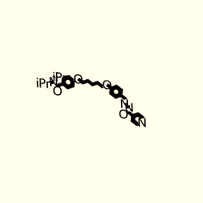 CC(C)N(C(=O)c1ccc(OCCCCCOc2ccc(CN=NC(=O)c3ccncc3)cc2)cc1)C(C)C